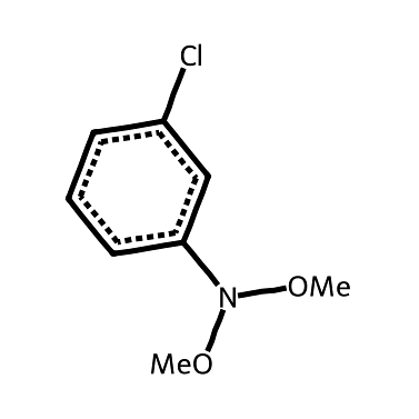 CON(OC)c1cccc(Cl)c1